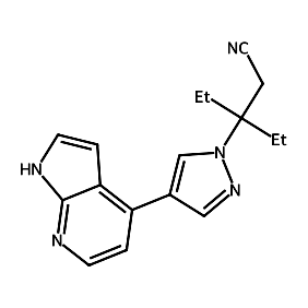 CCC(CC)(CC#N)n1cc(-c2ccnc3[nH]ccc23)cn1